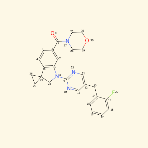 O=C(c1ccc2c(c1)N(c1ncc(Cc3ccccc3F)cn1)CC21CC1)N1CCOCC1